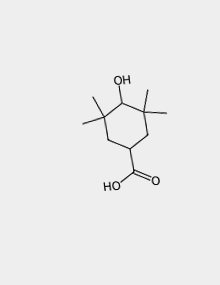 CC1(C)CC(C(=O)O)CC(C)(C)C1O